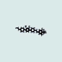 CCCC1CCC(c2ccc(C3CCC(CCc4cc(F)c(C(F)(F)F)c(F)c4)CC3)c(F)c2F)CC1